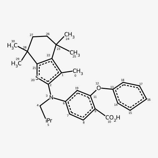 Cc1c(N(CC(C)C)c2ccc(C(=O)O)c(Oc3ccccc3)c2)sc2c1C(C)(C)CCC2(C)C